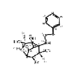 N#C[C@@H]1C(Br)C2O[C@@H](O)CC1(NOCc1ccccc1)C(O)[C@@H]2O